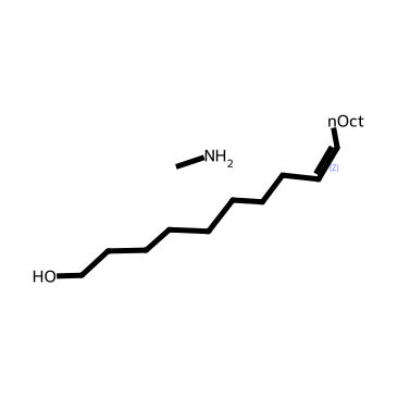 CCCCCCCC/C=C\CCCCCCCCO.CN